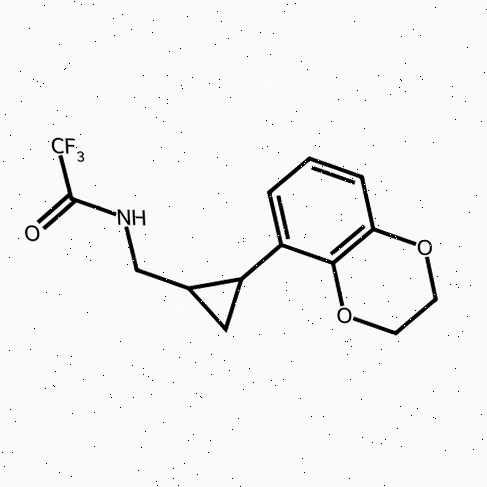 O=C(NCC1CC1c1cccc2c1OCCO2)C(F)(F)F